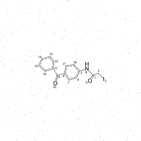 O=C(CI)Nc1ccc(C(=O)c2ccccc2)cc1